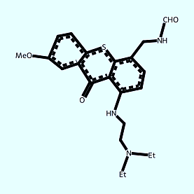 CCN(CC)CCNc1ccc(CNC=O)c2sc3ccc(OC)cc3c(=O)c12